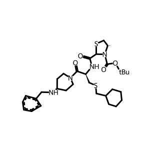 CC(C)(C)OC(=O)N1[CH]CSC1C(=O)N[C@@H](CSCC1CCCCC1)C(=O)N1CCC(NCc2ccccc2)CC1